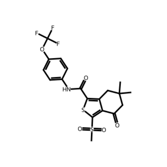 CC1(C)CC(=O)c2c(S(C)(=O)=O)sc(C(=O)Nc3ccc(OC(F)(F)F)cc3)c2C1